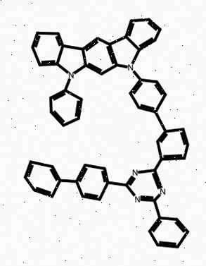 c1ccc(-c2ccc(-c3nc(-c4ccccc4)nc(-c4cccc(-c5ccc(-n6c7ccccc7c7cc8c9ccccc9n(-c9ccccc9)c8cc76)cc5)c4)n3)cc2)cc1